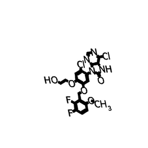 COc1ccc(F)c(F)c1COc1cc(N2C(=O)NC3C(Cl)=NC=NC32)c(Cl)cc1OCCO